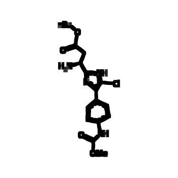 CCCCOC(=O)C[C@H](N)c1nc(-c2ccc(NC(=O)OC)cc2)c(Cl)[nH]1